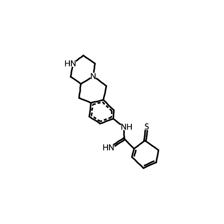 N=C(Nc1ccc2c(c1)CN1CCNCC1C2)C1=CC=CCC1=S